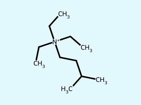 CC[N+](CC)(CC)CCC(C)C